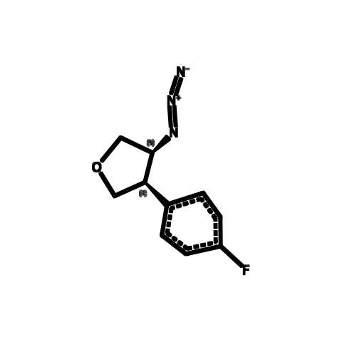 [N-]=[N+]=N[C@@H]1COC[C@@H]1c1ccc(F)cc1